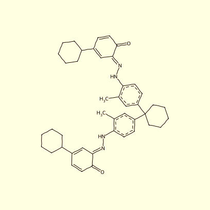 Cc1cc(C2(c3ccc(N/N=C4\C=C(C5CCCCC5)C=CC4=O)c(C)c3)CCCCC2)ccc1N/N=C1\C=C(C2CCCCC2)C=CC1=O